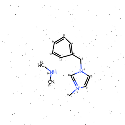 C[n+]1ccn(Cc2ccccc2)c1.N#CNC#N